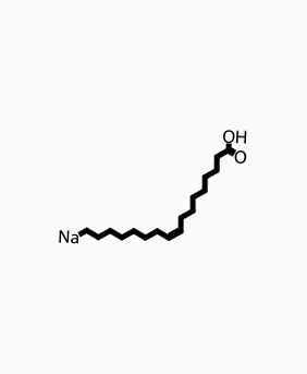 O=C(O)CCCCCCC/C=C\CCCCCC[CH2][Na]